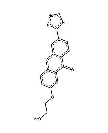 CC(=O)OCCOc1ccc2oc3cc(-c4nnn[nH]4)ccc3c(=O)c2c1